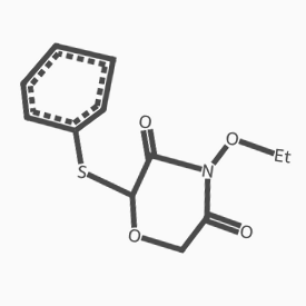 CCON1C(=O)COC(Sc2ccccc2)C1=O